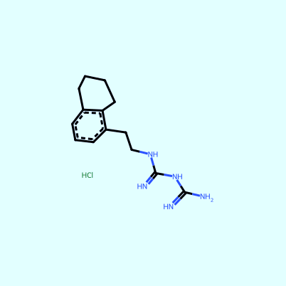 Cl.N=C(N)NC(=N)NCCc1cccc2c1CCCC2